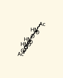 CC(=O)CCCCNC(=O)CCCOCCNC(=O)CC(=O)Nc1ccc(CC(=O)CC(C)=O)cc1